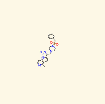 Cc1nccc2nc(C(N)CN3CCN(S(=O)(=O)Cc4ccccc4)CC3)ccc12